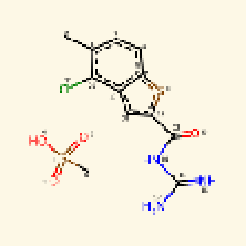 CS(=O)(=O)O.Cc1ccc2sc(C(=O)NC(=N)N)cc2c1Cl